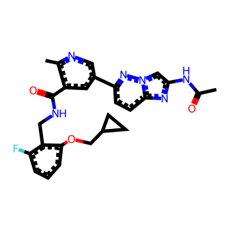 CC(=O)Nc1cn2nc(-c3cnc(C)c(C(=O)NCc4c(F)cccc4OCC4CC4)c3)ccc2n1